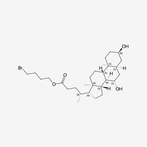 C[C@H](CCC(=O)OCCCCBr)[C@H]1CC[C@H]2[C@@H]3[C@@H](O)C[C@@H]4C[C@H](O)CC[C@]4(C)[C@H]3CC[C@]12C